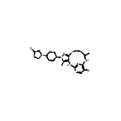 Cc1c2c(nn1C1CCC(N3CCC(F)C3)CC1)OCCC(C)Nc1nc(ncc1Cl)N2